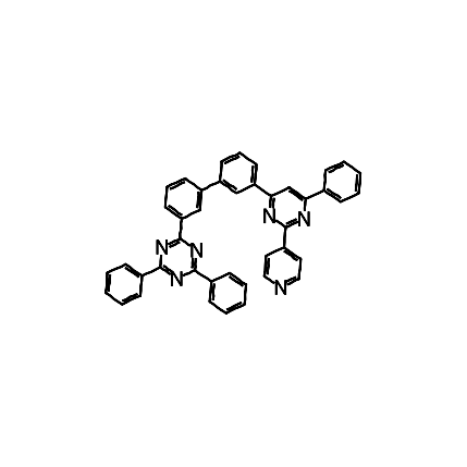 c1ccc(-c2cc(-c3cccc(-c4cccc(-c5nc(-c6ccccc6)nc(-c6ccccc6)n5)c4)c3)nc(-c3ccncc3)n2)cc1